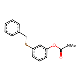 CNC(=O)Oc1cccc(SCc2ccccc2)c1